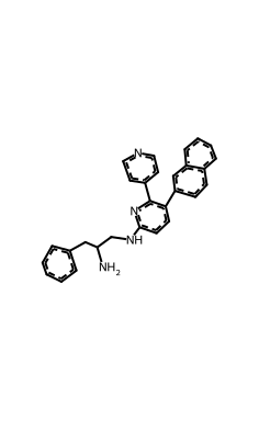 NC(CNc1ccc(-c2ccc3ccccc3c2)c(-c2ccncc2)n1)Cc1ccccc1